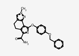 Cn1cc2c(n1)-c1c(Oc3ccc(OCc4ccccc4)cc3)sc(C(N)=O)c1CC2